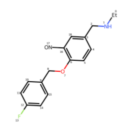 CCNCc1ccc(OCc2ccc(F)cc2)c(N=O)c1